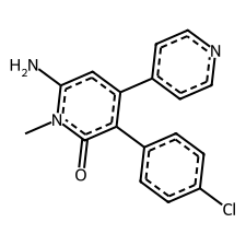 Cn1c(N)cc(-c2ccncc2)c(-c2ccc(Cl)cc2)c1=O